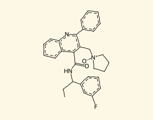 CCC(NC(=O)c1c(C[N+]2([O-])CCCC2)c(-c2ccccc2)nc2ccccc12)c1cccc(F)c1